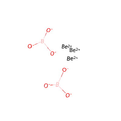 [Be+2].[Be+2].[Be+2].[O-]B([O-])[O-].[O-]B([O-])[O-]